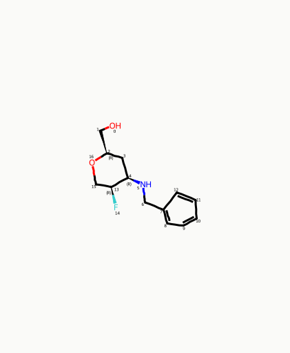 OC[C@H]1C[C@@H](NCc2ccccc2)[C@@H](F)CO1